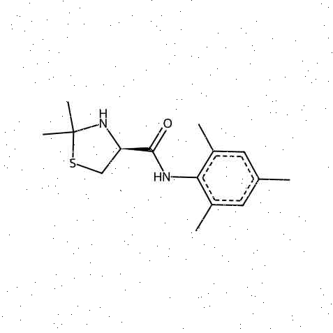 Cc1cc(C)c(NC(=O)[C@H]2CSC(C)(C)N2)c(C)c1